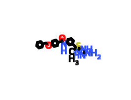 Cc1nc(NC(=N)N)sc1-c1cccc(NC(=O)c2ccc(OCc3ccccc3)cc2)c1